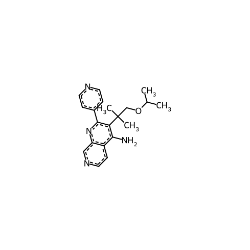 CC(C)OCC(C)(C)c1c(-c2ccncc2)nc2cnccc2c1N